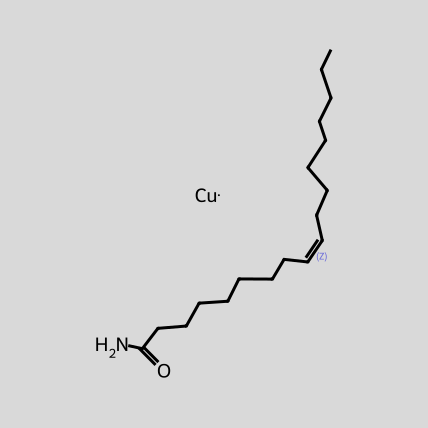 CCCCCCCC/C=C\CCCCCCCC(N)=O.[Cu]